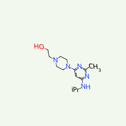 Cc1nc(NC(C)C)cc(N2CCN(CCO)CC2)n1